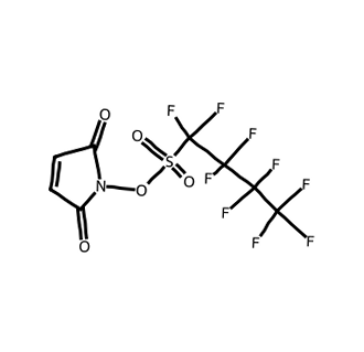 O=C1C=CC(=O)N1OS(=O)(=O)C(F)(F)C(F)(F)C(F)(F)C(F)(F)F